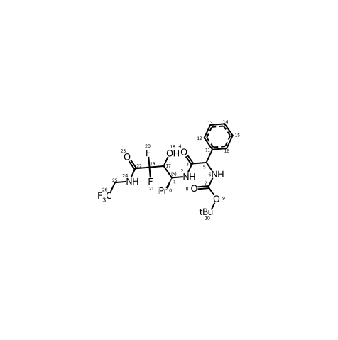 CC(C)[C@H](NC(=O)C(NC(=O)OC(C)(C)C)c1ccccc1)C(O)C(F)(F)C(=O)NCC(F)(F)F